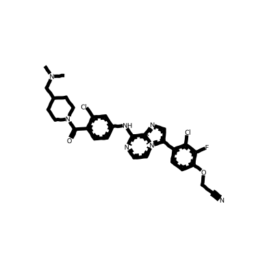 CN(C)CC1CCN(C(=O)c2ccc(Nc3nccn4c(-c5ccc(OCC#N)c(F)c5Cl)cnc34)cc2Cl)CC1